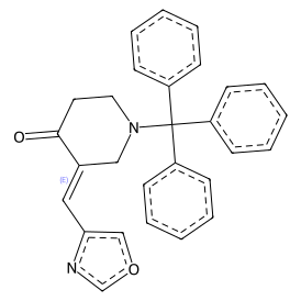 O=C1CCN(C(c2ccccc2)(c2ccccc2)c2ccccc2)C/C1=C\c1cocn1